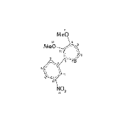 COc1ccbc(-c2cccc([N+](=O)[O-])c2)c1OC